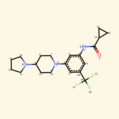 O=C(Nc1cc(N2CCC(N3CCCC3)CC2)cc(C(F)(F)F)c1)C1CC1